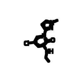 CCNc1cc(Cl)cn(-c2ccn(C)n2)c1=O